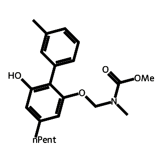 CCCCCc1cc(O)c(-c2cccc(C)c2)c(OCN(C)C(=O)OC)c1